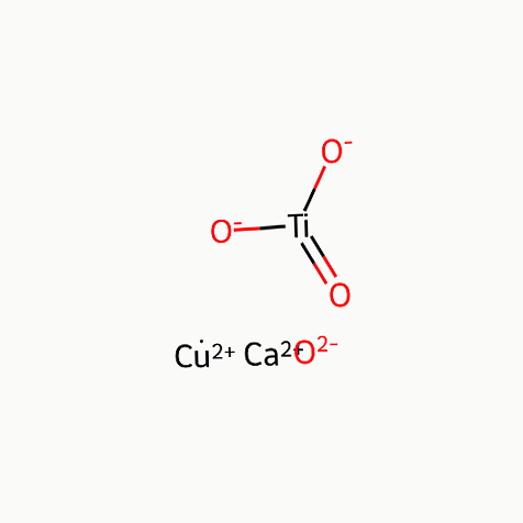 [Ca+2].[Cu+2].[O-2].[O]=[Ti]([O-])[O-]